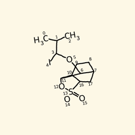 CC(C)C(I)OC1C2CCC3C1OS(=O)(=O)C3C2